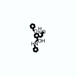 O=C1C=CC2C([C@H](O)CNCc3ccccc3)=CC=C(OCc3ccccc3)C2N1